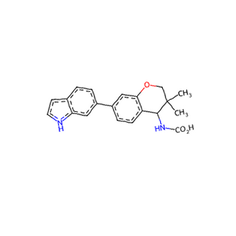 CC1(C)COc2cc(-c3ccc4cc[nH]c4c3)ccc2C1NC(=O)O